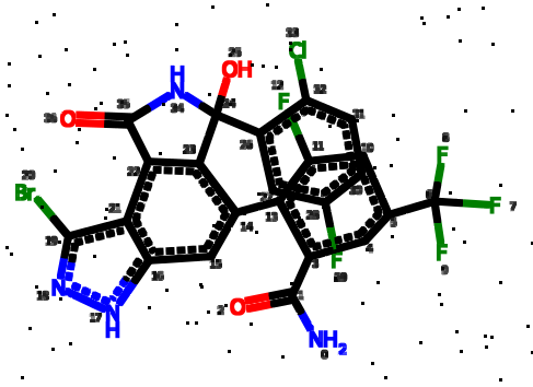 NC(=O)c1cc(C(F)(F)F)cc(F)c1-c1cc2[nH]nc(Br)c2c2c1C(O)(c1cc(F)ccc1Cl)NC2=O